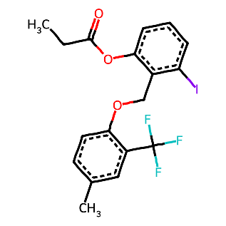 CCC(=O)Oc1cccc(I)c1COc1ccc(C)cc1C(F)(F)F